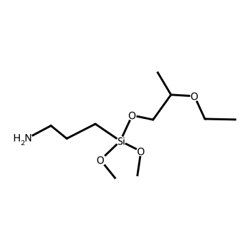 CCOC(C)CO[Si](CCCN)(OC)OC